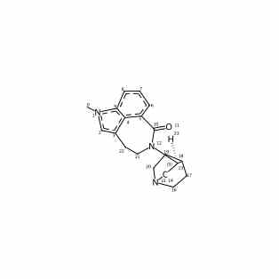 Cn1cc2c3c(cccc31)C(=O)N([C@@H]1CN3CCC1CC3)CC2